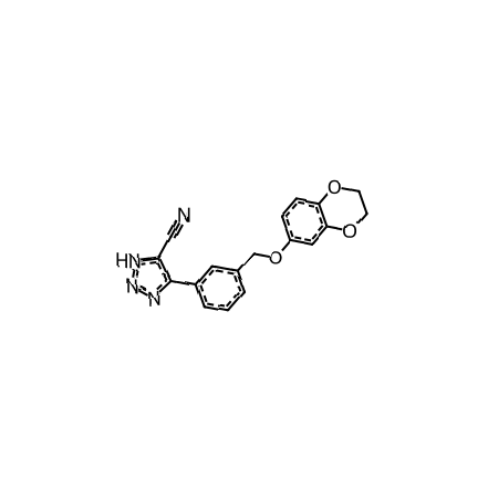 N#Cc1[nH]nnc1-c1cccc(COc2ccc3c(c2)OCCO3)c1